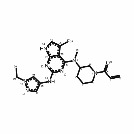 C=CC(=O)N1CCCC(N(C)c2nc(Nc3cnn(CC)c3)nc3[nH]cc(F)c23)C1